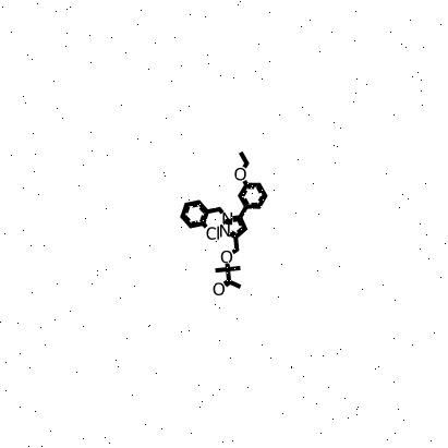 CCOc1cccc(-c2cc(COC(C)(C)C(C)=O)nn2Cc2ccccc2Cl)c1